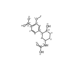 COc1cc(C2CC(NC(=O)O)CCP2O)ccc1[N+](=O)[O-]